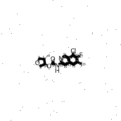 C[C@H]1COC[C@@H]1OC(=O)Nc1cc2cc(I)c(F)c(Cl)c2cn1